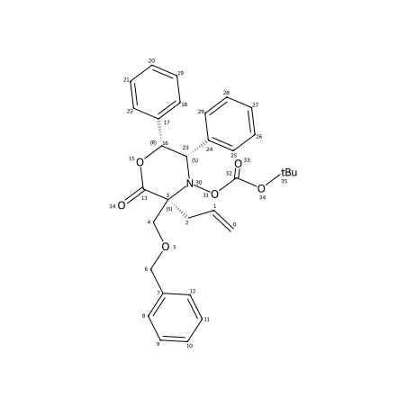 C=CC[C@]1(COCc2ccccc2)C(=O)O[C@H](c2ccccc2)[C@H](c2ccccc2)N1OC(=O)OC(C)(C)C